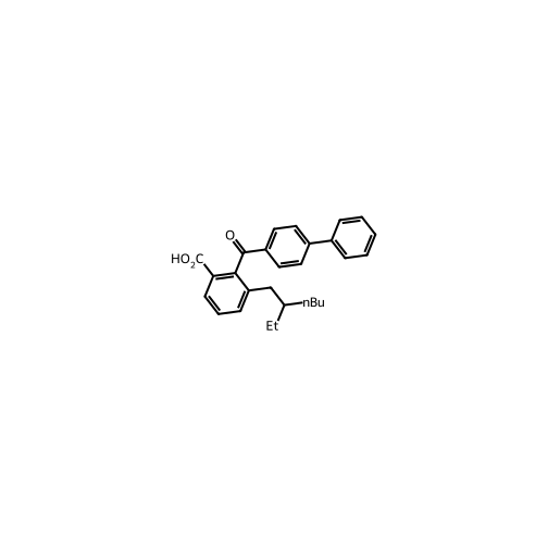 CCCCC(CC)Cc1cccc(C(=O)O)c1C(=O)c1ccc(-c2ccccc2)cc1